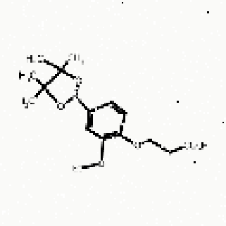 CCOc1cc(B2OC(C)(C)C(C)(C)O2)ccc1OCCC(=O)O